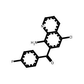 Nc1c(C(=O)c2ccc(F)cc2)cc(Cl)c2cccnc12